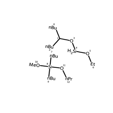 CCCCC(CCCC)O[SiH2]OCC.CCCC[Si](CCCC)(OC)OCCC